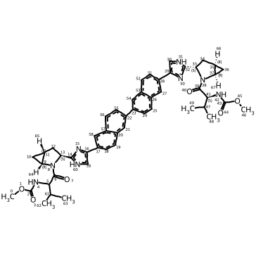 COC(=O)NC(C(=O)N1[C@@H]2C[C@@H]2C[C@H]1c1nc(-c2ccc3cc(-c4ccc5cc(-c6c[nH]c([C@@H]7C[C@H]8C[C@H]8N7C(=O)[C@@H](NC(=O)OC)C(C)C)n6)ccc5c4)ccc3c2)c[nH]1)C(C)C